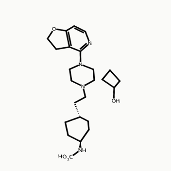 O=C(O)N[C@H]1CC[C@H](CCN2CCN(c3nccc4c3CCO4)CC2)CC1.OC1CCC1